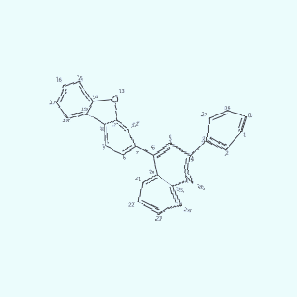 c1ccc(-c2cc(-c3ccc4c(c3)oc3ccccc34)c3ccccc3n2)cc1